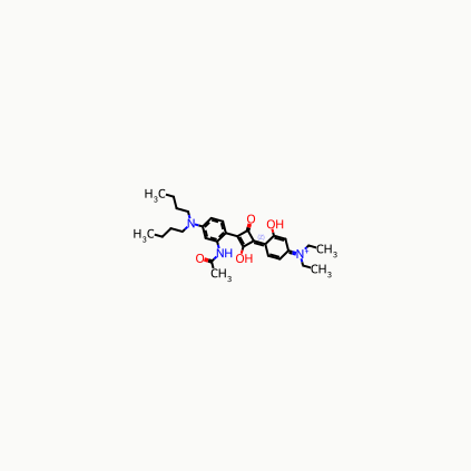 CCCCN(CCCC)c1ccc(C2=C(O)/C(=C3\C=CC(=[N+](CC)CC)C=C3O)C2=O)c(NC(C)=O)c1